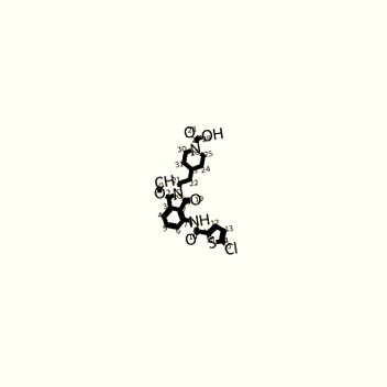 COC1c2cccc(NC(=O)c3ccc(Cl)s3)c2C(=O)N1CCC1CCN(C(=O)O)CC1